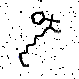 CCCCCCCC/C=C\CCCCCCC(C(=O)O)C(C)(O)c1ccccc1